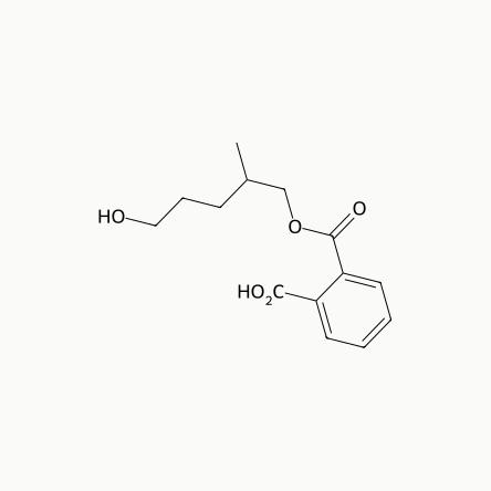 CC(CCCO)COC(=O)c1ccccc1C(=O)O